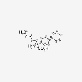 BCCCC[C@](N)(C(=O)O)C1CCN(C2CCCCC2)CC1